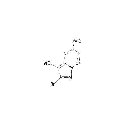 N#Cc1c(Br)nn2ccc(N)nc12